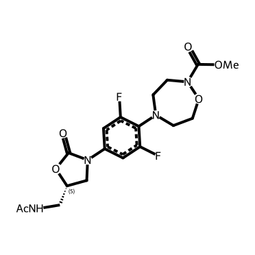 COC(=O)N1CCN(c2c(F)cc(N3C[C@H](CNC(C)=O)OC3=O)cc2F)CCO1